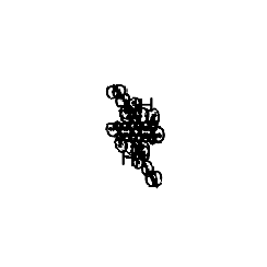 C=CC(=O)OCCOCCNC(=O)C(CC(C)OC)N1C(=O)c2cc(Oc3cccc(OC)c3)c3c4c(Oc5cccc(OC)c5)cc5c6c(cc(Oc7cccc(OC)c7)c(c7c(Oc8cccc(OC)c8)cc(c2c37)C1=O)c64)C(=O)N(C(CC(C)OC)C(=O)NCCOCCOC(=O)C=C)C5=O